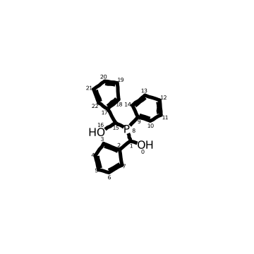 OC(c1ccccc1)P(c1ccccc1)C(O)c1ccccc1